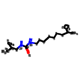 CC(C)CCCCCCCNC(=O)NCC(C)C